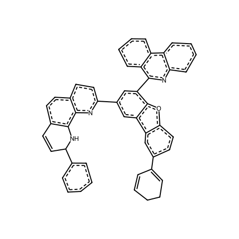 C1=CC(c2ccc3oc4c(-c5nc6ccccc6c6ccccc56)cc(-c5ccc6ccc7c(c6n5)NC(c5ccccc5)C=C7)cc4c3c2)=CCC1